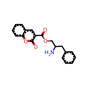 NC(COC(=O)c1cc2ccccc2oc1=O)Cc1ccccc1